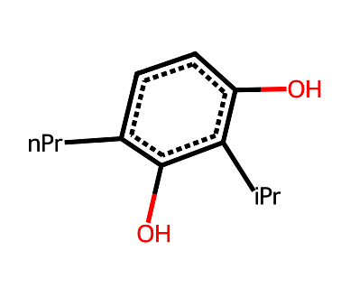 CCCc1ccc(O)c(C(C)C)c1O